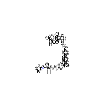 O=C(/C=C/c1cccnc1)NCCCCC1CCN(C(=O)c2ccc(N3CCN(CCCSc4cccc5c4C(=O)N(C4CCC(=O)NC4=O)C5=O)CC3)nn2)CC1